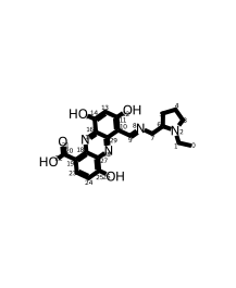 CCN1CCCC1CN=Cc1c(O)cc(O)c2nc3c(C(=O)O)ccc(O)c3nc12